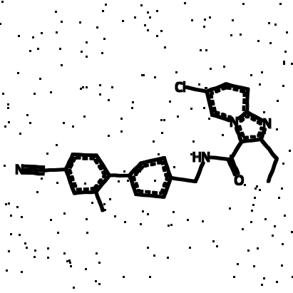 CCc1nc2ccc(Cl)cn2c1C(=O)NCc1ccc(-c2ccc(C#N)cc2C)cc1